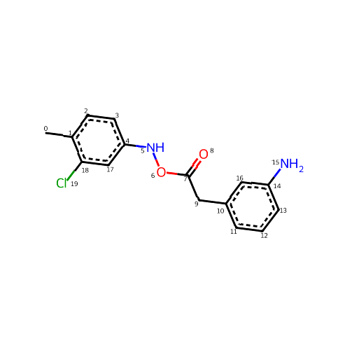 Cc1ccc(NOC(=O)Cc2cccc(N)c2)cc1Cl